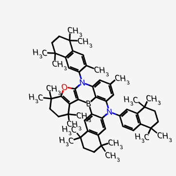 Cc1cc2c3c(c1)N(c1cc4c(cc1C)C(C)(C)CCC4(C)C)c1oc4c(c1B3c1cc3c(cc1N2c1ccc2c(c1)C(C)(C)CCC2(C)C)C(C)(C)CCC3(C)C)C(C)(C)CCC4(C)C